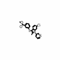 COC(=O)c1cccc(Sc2c(C)n(-c3cccnc3)c3cc(Cl)ccc23)c1